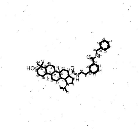 C=C(C)[C@@H]1CC[C@]2(C(=O)NCCc3cccc(C(=O)NCc4ccccc4)c3)CC[C@]3(C)C(CCC4[C@@]5(C)CC[C@H](O)C(C)(C)C5CC[C@]43C)C12